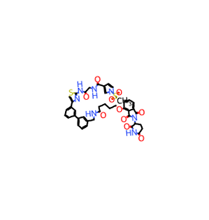 CS(=O)(=O)n1ccc(C(=O)NCC(=O)Nc2nc(-c3cccc(-c4cccc(CNC(=O)CCCCOc5cccc6c5C(=O)N(C5CCC(=O)NC5=O)C6=O)c4)c3)cs2)c1